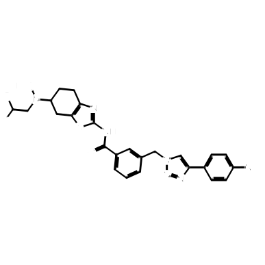 CN(CC(F)F)C1CCc2nc(NC(=O)c3cccc(Cn4cc(-c5ccc(N)cc5)nn4)c3)sc2C1